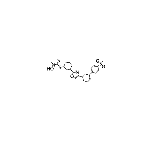 CN(O)C(=S)SC1CCCC(c2nc(C3CCC=C(c4ccc(S(C)(=O)=O)cc4)C3)co2)C1